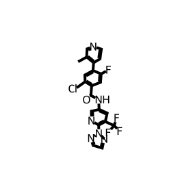 Cc1cnccc1-c1cc(Cl)c(C(=O)Nc2cnc(-n3nccn3)c(C(F)(F)F)c2)cc1F